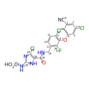 N#Cc1cc(Cl)cc(Oc2c(Cl)ccc(CNC(=O)c3[nH]c(NC(=O)O)nc3Cl)c2F)c1